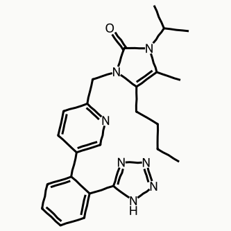 CCCCc1c(C)n(C(C)C)c(=O)n1Cc1ccc(-c2ccccc2-c2nnn[nH]2)cn1